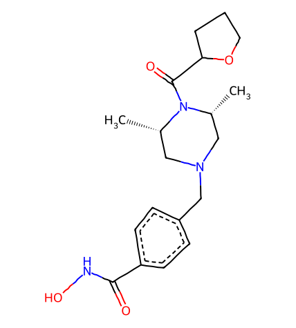 C[C@@H]1CN(Cc2ccc(C(=O)NO)cc2)C[C@H](C)N1C(=O)C1CCCO1